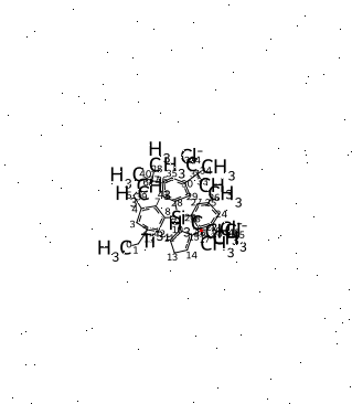 CCc1cc(CC)cc([Si](C2=[C]([Ti+3])CC=C2C(C)(C)C)(c2cc(C)cc(C)c2)c2cc(C(C)(C)C)cc(C(C)(C)C)c2)c1.[Cl-].[Cl-].[Cl-]